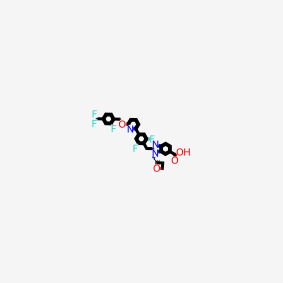 O=C(O)c1ccc2nc(Cc3c(F)cc(-c4cccc(OCc5ccc(C(F)F)cc5F)n4)cc3F)n(C[C@@H]3CCO3)c2c1